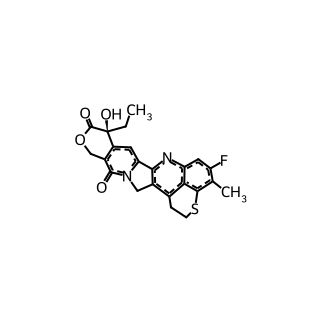 CC[C@@]1(O)C(=O)OCc2c1cc1n(c2=O)Cc2c-1nc1cc(F)c(C)c3c1c2CCS3